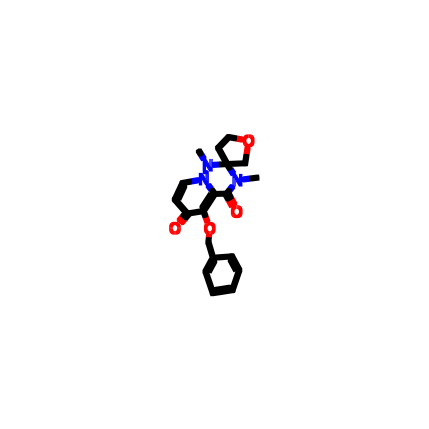 CN1C(=O)c2c(OCc3ccccc3)c(=O)ccn2N(C)C12CCOC2